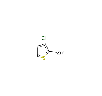 [Cl-].[Zn+][c]1cccs1